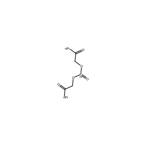 CCCC(=O)CO[PH](=O)OCC(=O)CCC